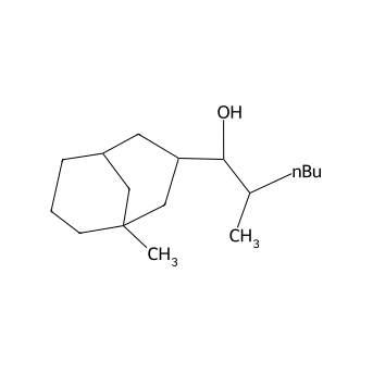 CCCCC(C)C(O)C1CC2CCCC(C)(C2)C1